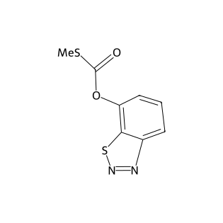 CSC(=O)Oc1cccc2nnsc12